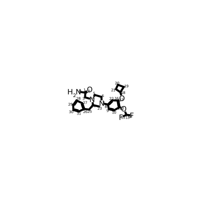 NC(=O)CN1CCN(c2ccc(OC(F)F)c(OC3CCC3)c2)CC1Cc1ccccc1